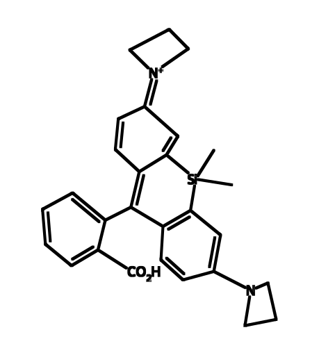 C[Si]1(C)C2=CC(=[N+]3CCC3)C=CC2=C(c2ccccc2C(=O)O)c2ccc(N3CCC3)cc21